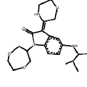 CC(C)C(C)Nc1ccc2c(c1)/C(=C1\COCCN1)C(=O)N2C1COCCOC1